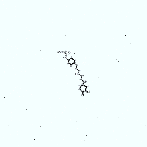 CO[SH](=O)=Nc1ccc(CCCNCCNc2ccc(Cl)c(Cl)c2)cc1